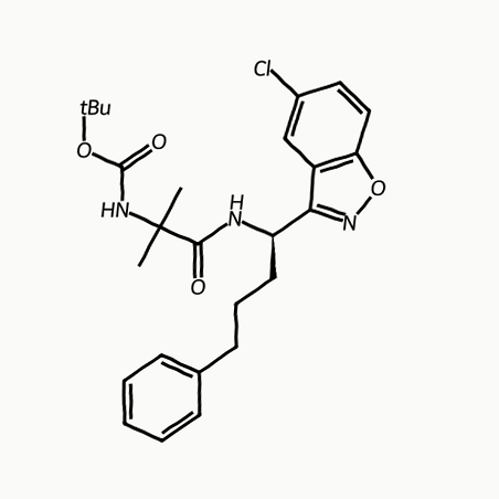 CC(C)(C)OC(=O)NC(C)(C)C(=O)N[C@H](CCCc1ccccc1)c1noc2ccc(Cl)cc12